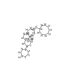 CC1CCCC(C2CC[C@H]3C(CCN4CC=C(CC5CCCCCCCC5)CCC34)C2)CC1